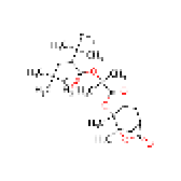 CC(C)(C)CC(C(=O)OC(C)(C)C(=O)OC1(C)CCC2CC1(C)OC2=O)C(C)(C)C